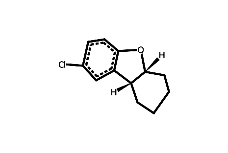 Clc1ccc2c(c1)[C@H]1CCCC[C@H]1O2